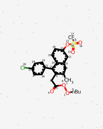 CCCCOOC(=O)Cc1c(C)cc2cc(OS(=O)(=O)C(F)(F)F)ccc2c1-c1ccc(Cl)cc1